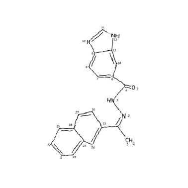 C/C(=N/NC(=O)c1ccc2nc[nH]c2c1)c1ccc2ccccc2c1